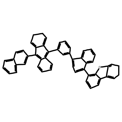 C1=c2oc3c(-c4ccc(-c5cccc(-c6c7c(c(-c8ccc9ccccc9c8)c8ccccc68)=CCCC=7)c5)c5ccccc45)cccc3c2=CCC1